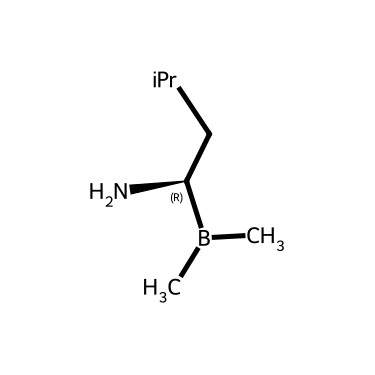 CB(C)[C@@H](N)CC(C)C